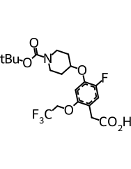 CC(C)(C)OC(=O)N1CCC(Oc2cc(OCC(F)(F)F)c(CC(=O)O)cc2F)CC1